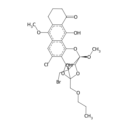 CCCOCC12OC3c4c(Cl)cc5c(OC)c6c(c(O)c5c4O[C@](OC)(C3O1)[C@@]2(O)CBr)C(=O)CCC6